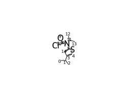 CC(C)c1csc(N(C(=O)Cl)C(C)C)c1